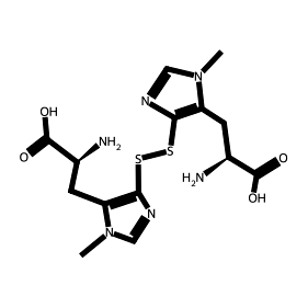 Cn1cnc(SSc2ncn(C)c2C[C@H](N)C(=O)O)c1C[C@H](N)C(=O)O